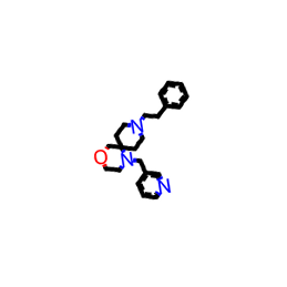 c1ccc(CCN2CCC3(CC2)COCCN3Cc2cccnc2)cc1